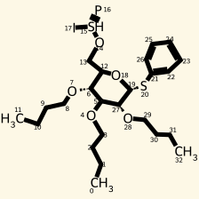 CCCCOC1[C@H](OCCCC)C(CO[SH](#P)I)O[C@H](Sc2ccccc2)[C@@H]1OCCCC